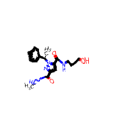 CNC(=O)c1cc(C(=O)NCCCO)n([C@@H](C)c2ccccc2)n1